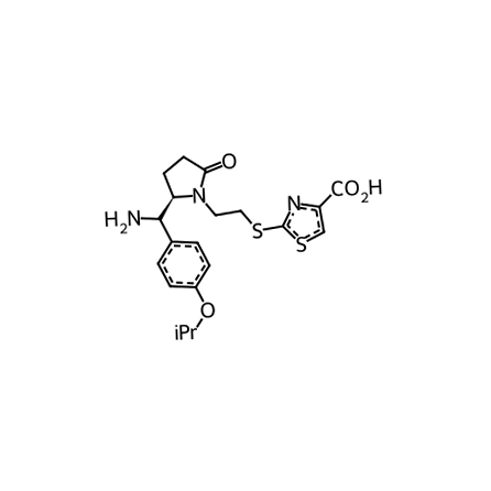 CC(C)Oc1ccc(C(N)[C@H]2CCC(=O)N2CCSc2nc(C(=O)O)cs2)cc1